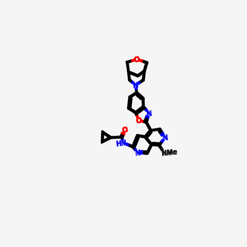 CNc1ncc(-c2nc3cc(N4CC5COCC(C5)C4)ccc3o2)c2cc(NC(=O)C3CC3)ncc12